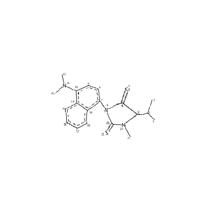 CC(C)C1C(=O)N(c2ccc(N(C)C)c3ccccc23)C(=S)N1C